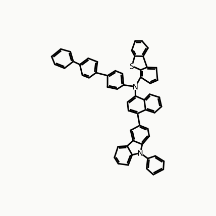 c1ccc(-c2ccc(-c3ccc(N(c4ccc(-c5ccc6c(c5)c5ccccc5n6-c5ccccc5)c5ccccc45)c4cccc5c4sc4ccccc45)cc3)cc2)cc1